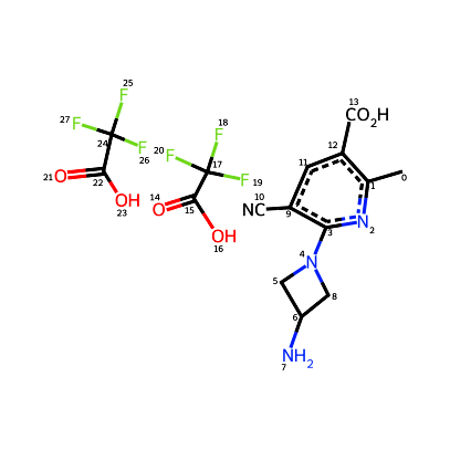 Cc1nc(N2CC(N)C2)c(C#N)cc1C(=O)O.O=C(O)C(F)(F)F.O=C(O)C(F)(F)F